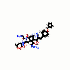 CC(C)CC(NC(=O)C(Cc1cccc(C(=O)C(N)Cc2ccc(OCc3ccccc3)cc2)c1C(=O)CN)N(C=O)C(=O)CN)C(=O)O